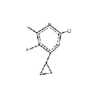 Cc1nc(Cl)cc(C2CC2)c1F